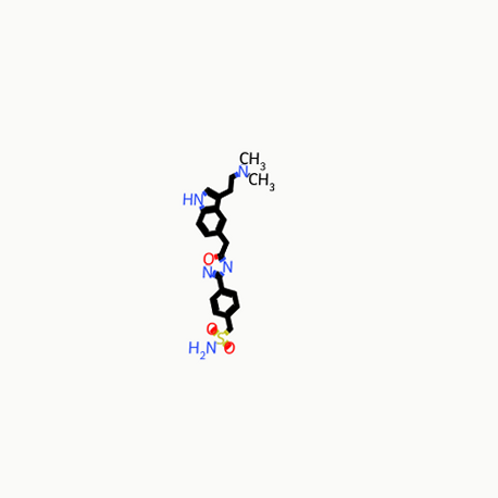 CN(C)CCc1c[nH]c2ccc(Cc3nc(-c4ccc(CS(N)(=O)=O)cc4)no3)cc12